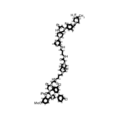 COc1ccc(C2=N[C@@H](c3ccc(Cl)cc3)[C@@H](c3ccc(Cl)cc3)N2C(=O)N2CCN(CC(=O)NCCCN3C[C@@H]4CN(CC(=O)NCCCNc5cc(N6CCC7(CC6)CN(c6cc(F)c(CN8CCC(C)(C)CC8)cc6F)CC(=O)N7)ncn5)C[C@@H]4C3)C(=O)C2)c(OC(C)C)c1